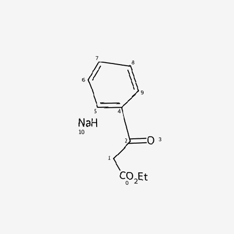 CCOC(=O)CC(=O)c1ccccc1.[NaH]